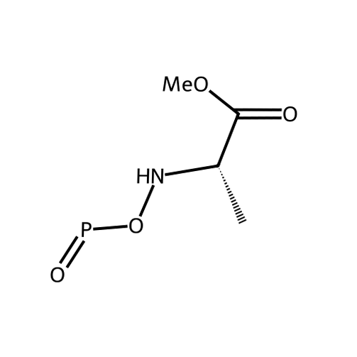 COC(=O)[C@H](C)NOP=O